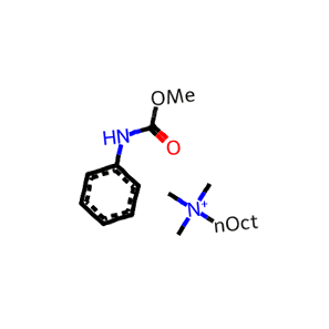 CCCCCCCC[N+](C)(C)C.COC(=O)Nc1ccccc1